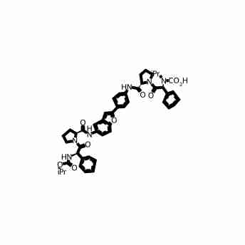 CC(C)OC(=O)N[C@@H](C(=O)N1CCC[C@H]1C(=O)Nc1ccc2oc(-c3ccc(NC(=O)[C@@H]4CCCN4C(=O)[C@@H](c4ccccc4)N(C(=O)O)C(C)C)cc3)cc2c1)c1ccccc1